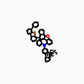 CC1(C)c2ccccc2-c2ccc(N(c3ccccc3)c3cccc4oc5c6ccccc6c(-c6cccc7c6sc6c(-c8ccccc8)cccc67)cc5c34)cc21